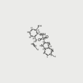 C#CC.Cc1ccn2nc(S(=O)(=O)Nc3c(F)cccc3F)nc2n1